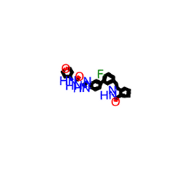 O=C(Nc1nc2cc(-c3cc(Cc4n[nH]c(=O)c5ccccc45)ccc3F)ccc2[nH]1)NC1CCOCC1